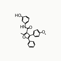 COc1ccc(-c2c(-c3ccccc3)oc(C)c2C(=O)Nc2cccc(O)c2)cc1